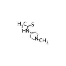 CC(=S)NC1=CCN(C)CC1